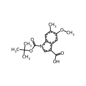 COc1cc2c(C(=O)O)cn(C(=O)OC(C)(C)C)c2cc1C